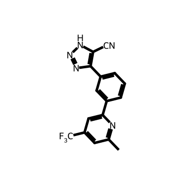 Cc1cc(C(F)(F)F)cc(-c2cccc(-c3nn[nH]c3C#N)c2)n1